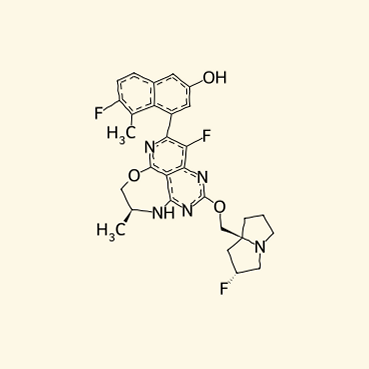 Cc1c(F)ccc2cc(O)cc(-c3nc4c5c(nc(OC[C@@]67CCCN6C[C@H](F)C7)nc5c3F)N[C@@H](C)CO4)c12